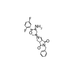 N[C@H]1C[C@@H](N2C=C3C(=O)N(Cc4ccccc4)C(=O)C3C2)CO[C@@H]1c1cc(F)ccc1F